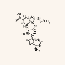 CCSc1nc2cc(C(N)=O)ccc2n1CC1OC(n2cnc3c(N)ncnc32)[C@H](O)[C@@H]1O